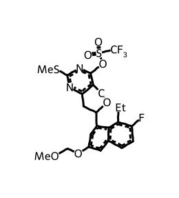 CCc1c(F)ccc2cc(OCOC)cc(C3Cc4nc(SC)nc(OS(=O)(=O)C(F)(F)F)c4CO3)c12